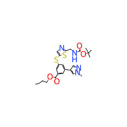 CCCCOC(=O)c1cc(Sc2cnc(CNC(=O)OC(C)(C)C)s2)cc(-c2cnn(C)c2)c1